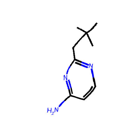 CC(C)(C)Cc1nccc(N)n1